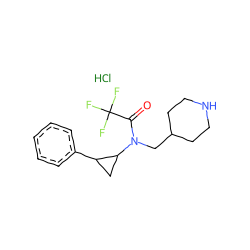 Cl.O=C(N(CC1CCNCC1)C1CC1c1ccccc1)C(F)(F)F